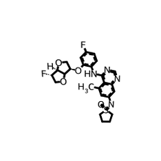 Cc1cc(N=S2(=O)CCCC2)cc2ncnc(Nc3ccc(F)cc3O[C@@H]3CO[C@H]4C3OC[C@@H]4F)c12